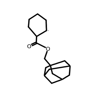 O=C(OCC12CC3CC(CC(C3)C1)C2)C1[CH]CCCC1